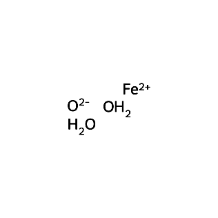 O.O.[Fe+2].[O-2]